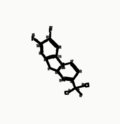 CC(Cl)(Cl)C1=NC2Cc3cc(F)c(F)cc3N2C=C1